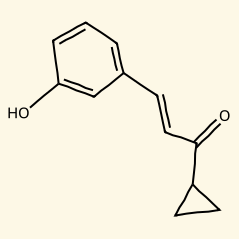 O=C(C=Cc1cccc(O)c1)C1CC1